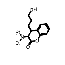 CCN(CC)C1C(=O)Oc2ccccc2C1CCCO